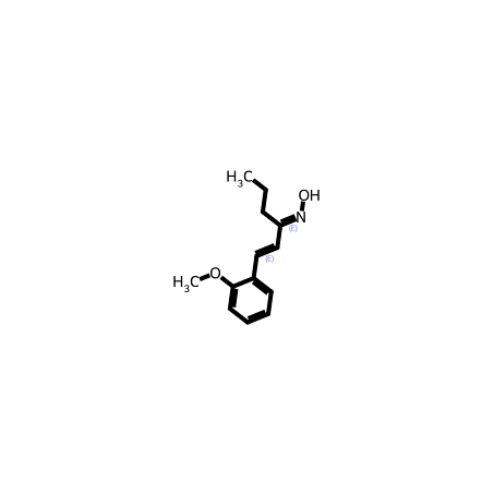 CCCC(/C=C/c1ccccc1OC)=N\O